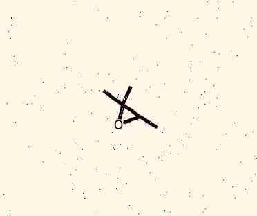 [CH2]C1(C)OC1C